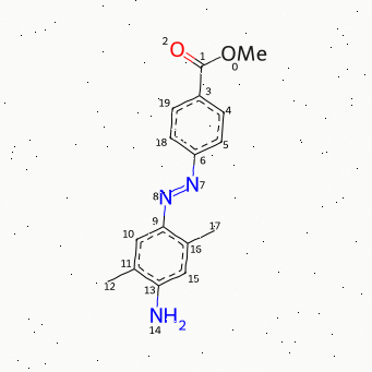 COC(=O)c1ccc(N=Nc2cc(C)c(N)cc2C)cc1